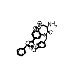 N[C@H]1CS(=O)(=O)c2ccc(-c3nnc(-c4ccccc4)o3)cc2N(Cc2ccc(Cl)cc2)C1=O